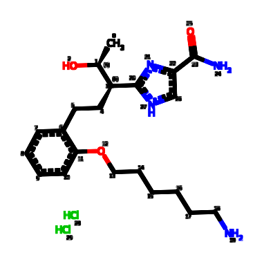 C[C@H](O)[C@H](CCc1ccccc1OCCCCCCN)c1nc(C(N)=O)c[nH]1.Cl.Cl